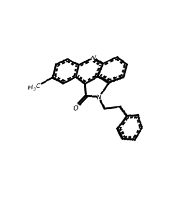 Cc1ccc2nc3cccc4c3c(c2c1)C(=O)N4CCc1ccccc1